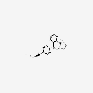 OCC#Cc1ccc([C@@H]2CN3CCC[C@@H]3c3ccccc32)cc1